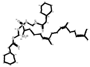 CC(C)=CCCC(C)=CCCC(C)=CCCCC(P(=O)(OCOC(=O)CC1CCCCC1)OCOC(=O)CC1CCCCC1)S(=O)(=O)O